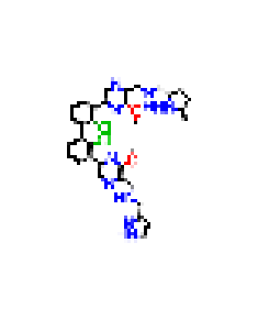 C=C1CC[C@@H](CNCc2ncc(-c3cccc(-c4cccc(-c5cnc(CNCc6cc[nH]n6)c(OC)n5)c4Cl)c3Cl)nc2OC)N1